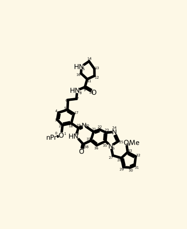 CCCOc1ccc(CCNC(=O)C2CCCNC2)cc1-c1nc2cc3ncn(Cc4ccccc4OC)c3cc2c(=O)[nH]1